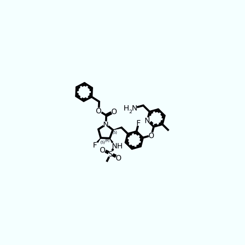 Cc1ccc(CN)nc1Oc1cccc(C[C@H]2[C@@H](NS(C)(=O)=O)[C@@H](F)CN2C(=O)OCc2ccccc2)c1F